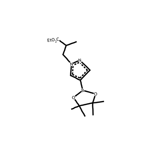 CCOC(=O)C(C)Cn1cc(B2OC(C)(C)C(C)(C)O2)cn1